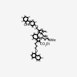 CCOC(=O)c1c(CCCOc2cccc3ccccc23)c2cccc(-c3c(COc4cnc(-c5ccccc5O)nc4)nn(C)c3CBr)c2n1CCCNC